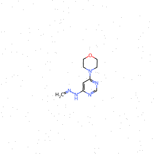 C=NNc1cc(N2CCOCC2)ncn1